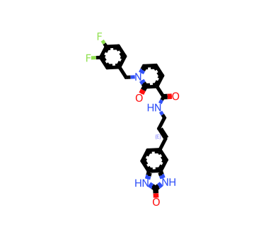 O=C(NC/C=C/c1ccc2[nH]c(=O)[nH]c2c1)c1cccn(Cc2ccc(F)c(F)c2)c1=O